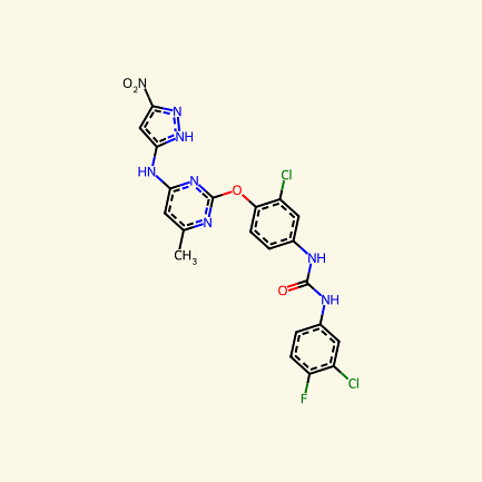 Cc1cc(Nc2cc([N+](=O)[O-])n[nH]2)nc(Oc2ccc(NC(=O)Nc3ccc(F)c(Cl)c3)cc2Cl)n1